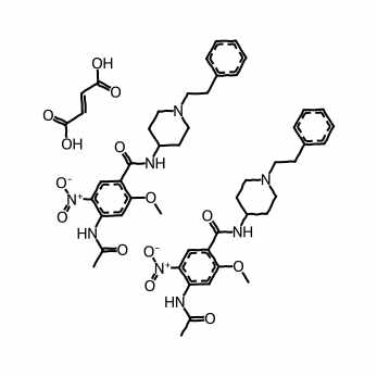 COc1cc(NC(C)=O)c([N+](=O)[O-])cc1C(=O)NC1CCN(CCc2ccccc2)CC1.COc1cc(NC(C)=O)c([N+](=O)[O-])cc1C(=O)NC1CCN(CCc2ccccc2)CC1.O=C(O)C=CC(=O)O